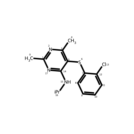 Cc1nc(C)c(Sc2ccccc2Cl)c(NC(C)C)n1